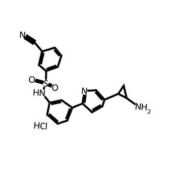 Cl.N#Cc1cccc(S(=O)(=O)Nc2cccc(-c3ccc(C4CC4N)cn3)c2)c1